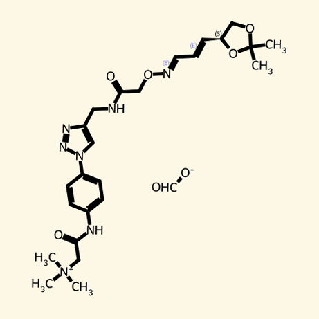 CC1(C)OC[C@H](/C=C/C=N/OCC(=O)NCc2cn(-c3ccc(NC(=O)C[N+](C)(C)C)cc3)nn2)O1.O=C[O-]